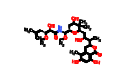 C=C(C)C[C@@H](OC)[C@H](O)C(=O)N[C@@H](OC)[C@@H]1C[C@@H](O)C(C)(C)[C@@H](C[C@H](O)[C@@H](C)C2Cc3c(C)c(O)cc(O)c3C(=O)O2)O1